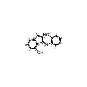 Oc1ccccc1/N=C1\C=Cc2cccc(O)c21